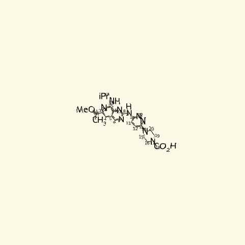 CO[C@H](C)c1cc2cnc(Nc3ccc(N4CCN(C(=O)O)CC4)nn3)nc2c(NC(C)C)n1